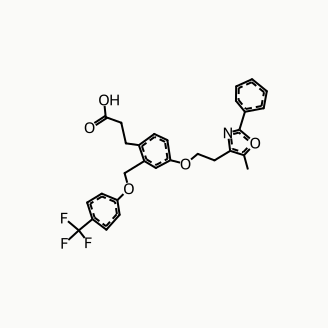 Cc1oc(-c2ccccc2)nc1CCOc1ccc(CCC(=O)O)c(COc2ccc(C(F)(F)F)cc2)c1